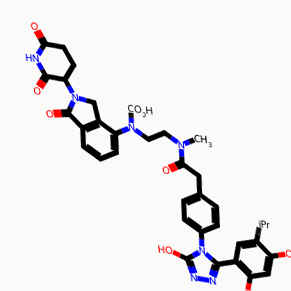 CC(C)c1cc(-c2nnc(O)n2-c2ccc(CC(=O)N(C)CCN(C(=O)O)c3cccc4c3CN(C3CCC(=O)NC3=O)C4=O)cc2)c(O)cc1O